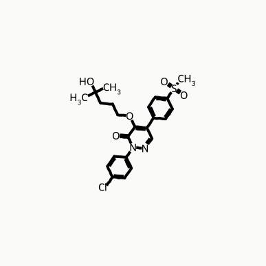 CC(C)(O)CCCOc1c(-c2ccc(S(C)(=O)=O)cc2)cnn(-c2ccc(Cl)cc2)c1=O